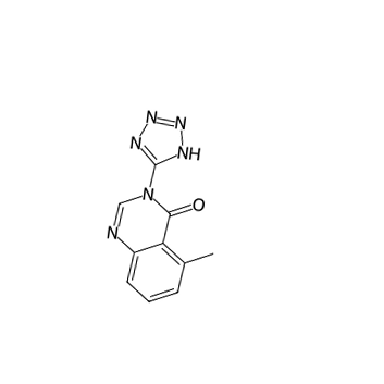 Cc1cccc2ncn(-c3nnn[nH]3)c(=O)c12